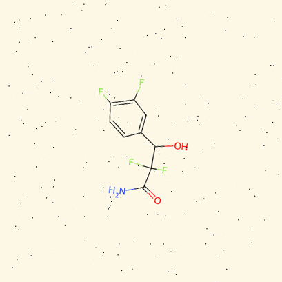 NC(=O)C(F)(F)C(O)c1ccc(F)c(F)c1